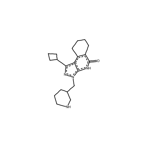 O=c1[nH]c2c(c(C3CCC3)nn2CC2CCCNC2)c2c1CCCC2